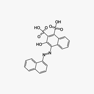 O=S(=O)(O)c1c(O)c(N=Nc2cccc3ccccc23)c2ccccc2c1S(=O)(=O)O